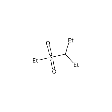 CCC(CC)S(=O)(=O)CC